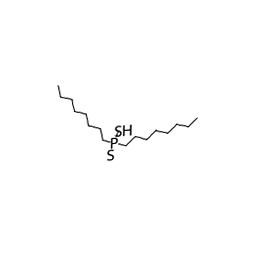 CCCCCCCCP(=S)(S)CCCCCCCC